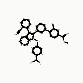 COC(=O)c1ccc(-c2cccc(-c3c(-c4ccccc4C#N)c4ccncc4n3Sc3ccc(C(F)F)cc3)c2)c(C)c1